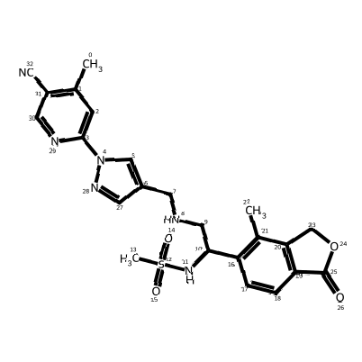 Cc1cc(-n2cc(CNCC(NS(C)(=O)=O)c3ccc4c(c3C)COC4=O)cn2)ncc1C#N